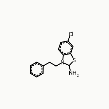 NC1Sc2cc(Cl)ccc2N1CCc1ccccc1